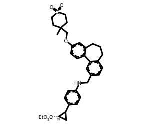 CCOC(=O)[C@H]1CC1c1ccc(NCc2ccc3c(c2)-c2ccc(OCC4(C)CCS(=O)(=O)CC4)cc2CCC3)cc1